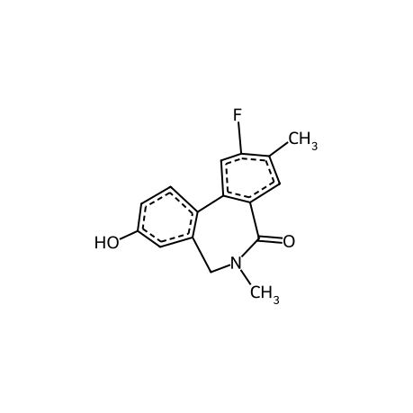 Cc1cc2c(cc1F)-c1ccc(O)cc1CN(C)C2=O